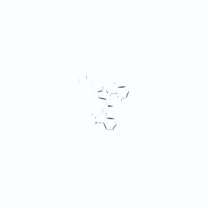 Cc1cc(Cl)cc(C(N)=O)c1NC(=O)c1cc(OCC(F)F)nn1-c1ncccc1Cl